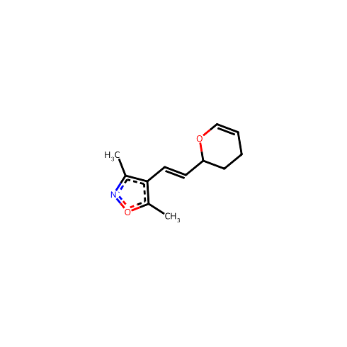 Cc1noc(C)c1C=CC1CCC=CO1